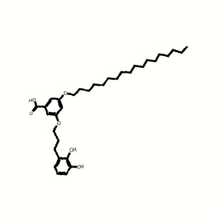 CCCCCCCCCCCCCCCCCCOc1cc(OCCCc2cccc(O)c2O)cc(C(=O)O)c1